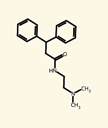 CN(C)CCNC(=O)CC(c1ccccc1)c1ccccc1